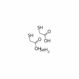 O=C(O)CS.O=C(O)CS.[SeH2]